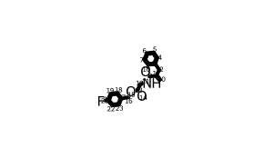 C=C(Cc1ccccc1)C(=O)NCC(=O)OCc1ccc(F)cc1